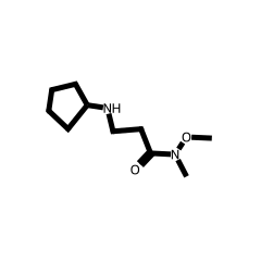 CON(C)C(=O)CCNC1CCCC1